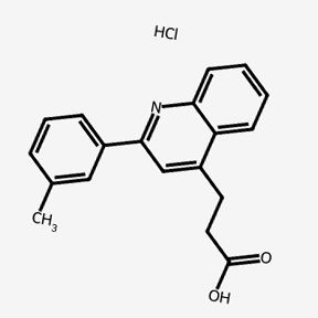 Cc1cccc(-c2cc(CCC(=O)O)c3ccccc3n2)c1.Cl